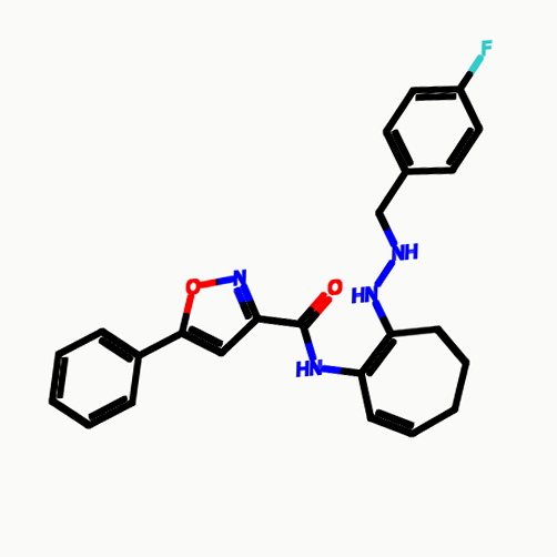 O=C(NC1=C(NNCc2ccc(F)cc2)CCCC=C1)c1cc(-c2ccccc2)on1